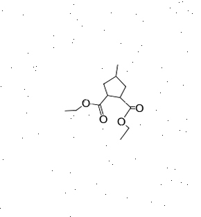 CCOC(=O)C1CC(C)CC1C(=O)OCC